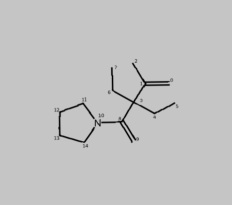 C=C(C)C(CC)(CC)C(=C)N1CCCC1